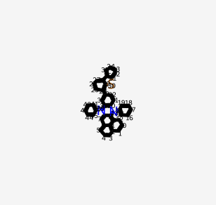 C1=Cc2cccc3cc4c(c(c23)C1)N(c1ccccc1)c1ccc(-c2cccc3c2sc2ccccc23)cc1N4c1ccccc1